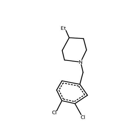 CCC1CCN(Cc2ccc(Cl)c(Cl)c2)CC1